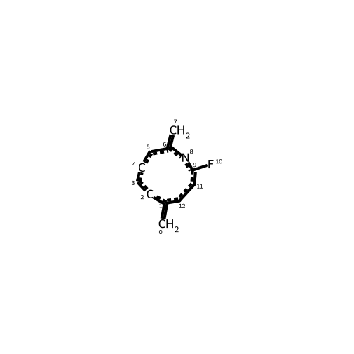 C=c1ccccc(=C)nc(F)cc1